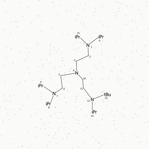 CC(C)N(CCN(CCN(C(C)C)C(C)C)CCN(C(C)C)C(C)(C)C)C(C)C